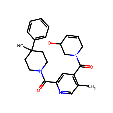 Cc1cnc(C(=O)N2CCC(C#N)(c3ccccc3)CC2)cc1C(=O)N1CC=CC(O)C1